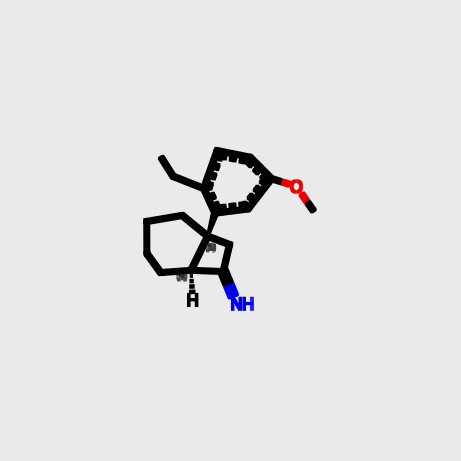 CCc1ccc(OC)cc1[C@]12CCCC[C@@H]1C(=N)C2